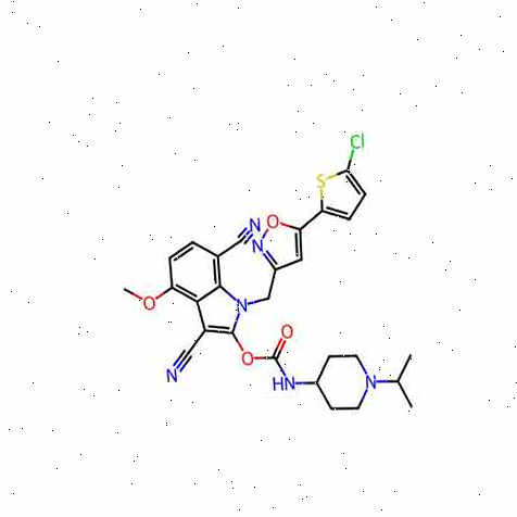 COc1ccc(C#N)c2c1c(C#N)c(OC(=O)NC1CCN(C(C)C)CC1)n2Cc1cc(-c2ccc(Cl)s2)on1